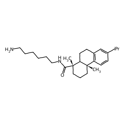 CC(C)c1ccc2c(c1)CCC1[C@@]2(C)CCC[C@]1(C)C(=O)NCCCCCCN